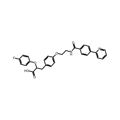 O=C(NCCOc1ccc(CC(Oc2ccc(F)cc2)C(=O)O)cc1)c1ccc(-c2ccccn2)cc1